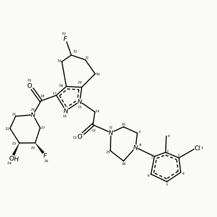 Cc1c(Cl)cccc1N1CCN(C(=O)Cn2nc(C(=O)N3CC[C@H](O)[C@H](F)C3)c3c2CCC(F)C3)CC1